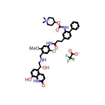 COc1cc(NC(=O)CCc2ccc(-c3ccccc3)c(NC(=O)OC3CC[N+](C)(C)CC3)c2)c(Cl)cc1CNC[C@H](O)c1ccc(O)c2[nH]c(=O)ccc12.O=C([O-])C(F)(F)F